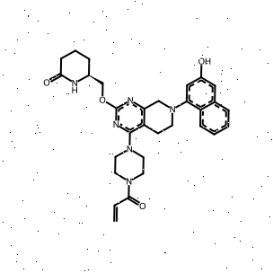 C=CC(=O)N1CCN(c2nc(OC[C@@H]3CCCC(=O)N3)nc3c2CCN(c2cc(O)cc4ccccc24)C3)CC1